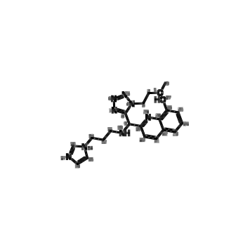 COCCn1nnnc1C(NCCCn1ccnc1)c1ccc2cccc(O)c2n1